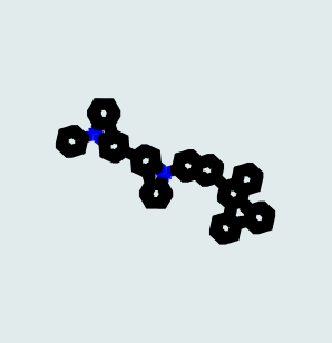 c1ccc(-n2c3ccccc3c3cc(-c4ccc5c(c4)c4ccccc4n5-c4ccc5ccc(-c6cc7c8ccccc8c8ccccc8c7c7ccccc67)cc5c4)ccc32)cc1